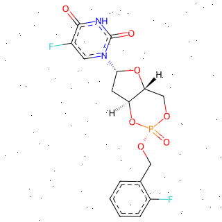 O=c1[nH]c(=O)n([C@H]2C[C@@H]3O[P@@](=O)(OCc4ccccc4F)OC[C@H]3O2)cc1F